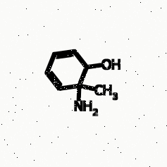 CC1(N)C=CC=CC1O